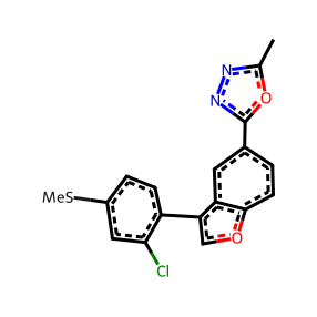 CSc1ccc(-c2coc3ccc(-c4nnc(C)o4)cc23)c(Cl)c1